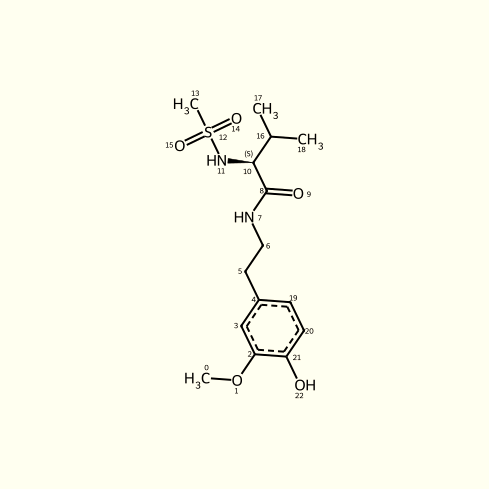 COc1cc(CCNC(=O)[C@@H](NS(C)(=O)=O)C(C)C)ccc1O